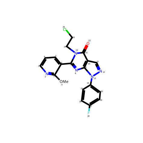 COc1ncccc1-c1nc2c(cnn2-c2ccc(F)cc2)c(=O)n1CCCl